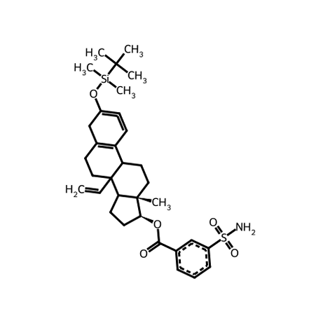 C=CC12CCC3=C(C=C=C(O[Si](C)(C)C(C)(C)C)C3)C1CC[C@@]1(C)C2CC[C@@H]1OC(=O)c1cccc(S(N)(=O)=O)c1